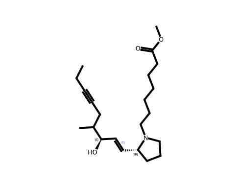 CCC#CCC(C)[C@H](O)/C=C/[C@H]1CCCN1CCCCCCC(=O)OC